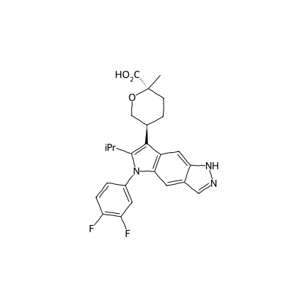 CC(C)c1c([C@@H]2CC[C@@](C)(C(=O)O)OC2)c2cc3[nH]ncc3cc2n1-c1ccc(F)c(F)c1